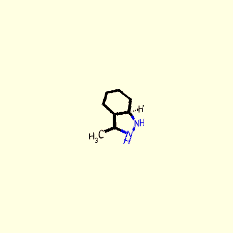 CC1NN[C@@H]2CCCCC12